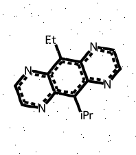 CCc1c2nccnc2c(C(C)C)c2nccnc12